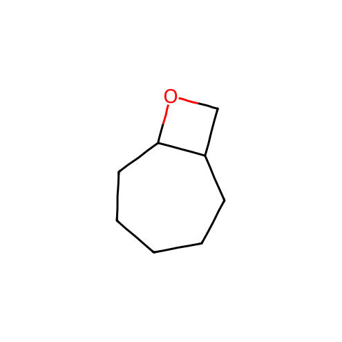 C1CCC2COC2CC1